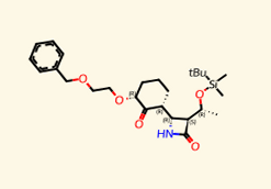 C[C@@H](O[Si](C)(C)C(C)(C)C)[C@H]1C(=O)N[C@@H]1[C@H]1CCC[C@@H](OCCOCc2ccccc2)C1=O